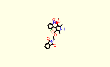 COC(=O)C1=C(C)NC(C)=C(C(=O)OCCN2C(=O)c3ccccc3C2=O)C1c1c(Cl)cccc1[N+](=O)[O-]